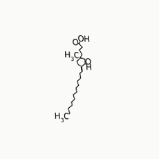 CCCCCCCCCCCCCC=C1CC[C@@](C)(CCCC(=O)O)C2O[C@H]12